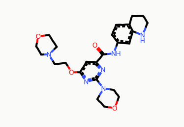 O=C(Nc1ccc2c(c1)NCCC2)c1cc(OCCN2CCOCC2)nc(N2CCOCC2)n1